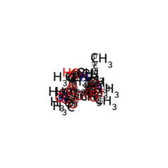 CCCCCCCCCCN(C)C1C[C@@H](C)O[C@@H](O[C@@H]2[C@@H](C)[C@H](O[C@H]3C[C@@](C)(OC)[C@@H](O[N+](=O)[O-])[C@H](C)O3)[C@@H](C)C(=O)O[C@H](CC)[C@@](C)(O)[C@H](O)[C@@H](C)N(C)C[C@H](C)C[C@@]2(C)O)[C@@H]1OC(C)=O